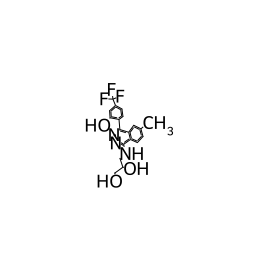 Cc1ccc2c(NCC(O)CO)nnc(-c3ccc(C(F)(F)F)cc3O)c2c1